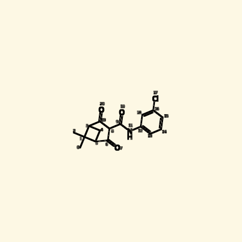 CC1(C)C2CC1C(=O)C(C(=O)Nc1cccc(Cl)c1)C2=O